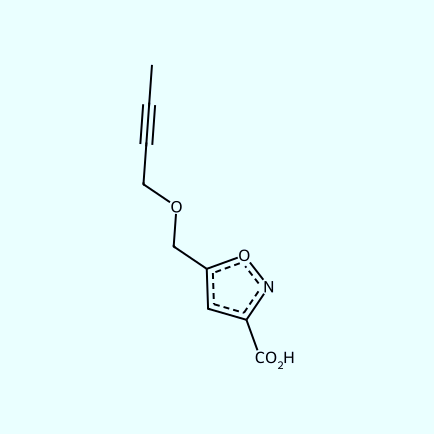 CC#CCOCc1cc(C(=O)O)no1